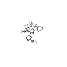 C[C@@H]1COCCN1c1cc([C@]2(C)CCCS2(=O)=NC2CC2)nc(-c2ccnc(N)c2)n1